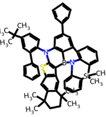 CC(C)(C)c1ccc(N2c3cc(-c4ccccc4)cc4c3B(c3c2sc2cc5c(cc32)C(C)(C)CCC5(C)C)N2c3ccccc3[Si](C)(C)c3cccc-4c32)c(-c2ccccc2)c1